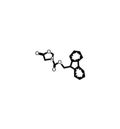 O=C1CN(C(=O)OCC2c3ccccc3-c3ccccc32)CO1